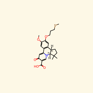 COc1cc2c(cc1OCCCSC)[C@@H]1CCC(C)(C)[C@@H]1n1cc(C(=O)O)c(=O)cc1-2